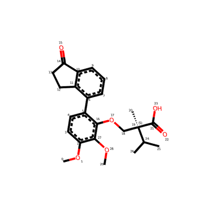 COc1ccc(-c2cccc3c2CCC3=O)c(OC[C@@](C)(C(=O)O)C(C)C)c1OC